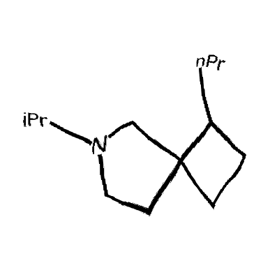 CCCC1CCC12CCN(C(C)C)C2